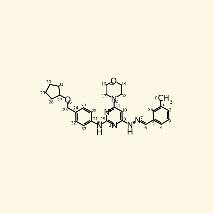 Cc1cccc(C=NNc2cc(N3CCOCC3)nc(Nc3ccc(COC4CCCC4)cc3)n2)c1